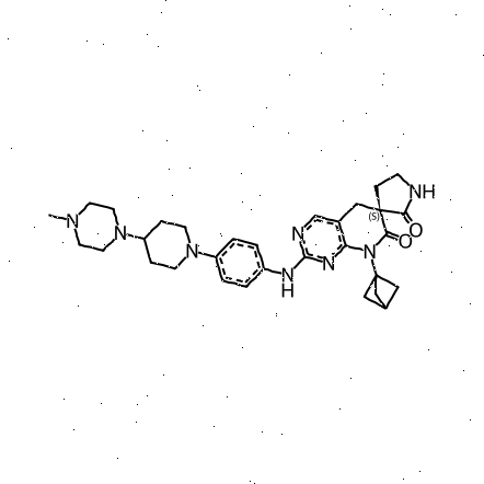 CN1CCN(C2CCN(c3ccc(Nc4ncc5c(n4)N(C46CC(C4)C6)C(=O)[C@]4(CCNC4=O)C5)cc3)CC2)CC1